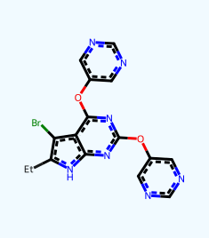 CCc1[nH]c2nc(Oc3cncnc3)nc(Oc3cncnc3)c2c1Br